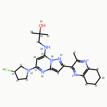 Cc1nc2c(nc1-c1cc3nc(N4CC[C@@H](F)C4)cc(NCC(C)(C)O)n3n1)CCCC2